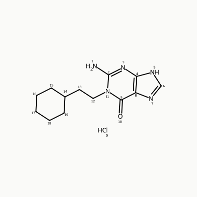 Cl.Nc1nc2[nH]cnc2c(=O)n1CCC1CCCCC1